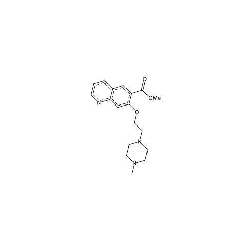 COC(=O)c1cc2cccnc2cc1OCCN1CCN(C)CC1